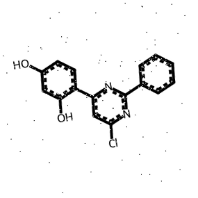 Oc1ccc(-c2cc(Cl)nc(-c3ccccc3)n2)c(O)c1